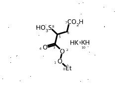 CCOOC(=O)C(CC(=O)O)S(=O)(=O)O.[KH].[KH]